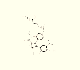 CCNC(=O)c1noc(-c2cc(C(C)C)c(O)cc2O)c1-c1ccc(CN(C)CCCC(=O)NO)cc1